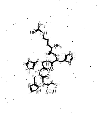 N=C(N)NCCC[C@H](N)C(=O)N[C@@H](Cc1c[nH]cn1)C(=O)N[C@@H](Cc1c[nH]cn1)C(=O)N[C@@H](Cc1c[nH]cn1)C(=O)N[C@@H](CS)C(=O)O